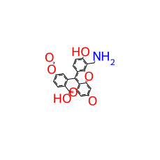 NCc1c(O)ccc2c(-c3cc(OC=O)ccc3C(=O)O)c3ccc(=O)cc-3oc12